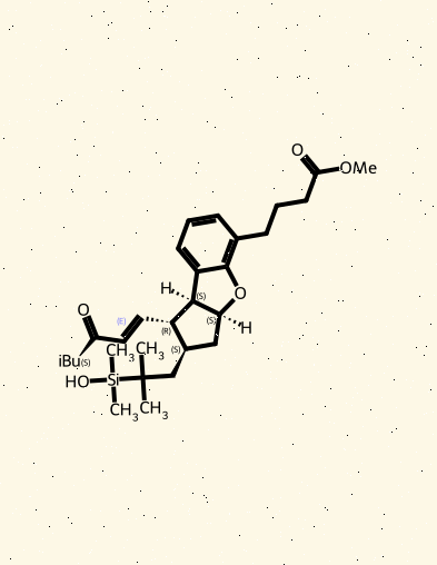 CC[C@H](C)C(=O)/C=C/[C@H]1[C@H](CC(C)(C)[Si](C)(C)O)C[C@@H]2Oc3c(CCCC(=O)OC)cccc3[C@H]12